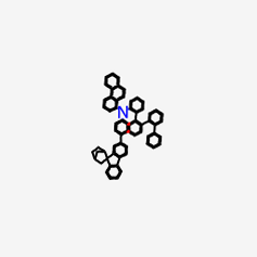 c1ccc(-c2ccccc2-c2ccccc2-c2ccccc2N(c2ccc(-c3ccc4c(c3)C3(CC5CCC3C5)c3ccccc3-4)cc2)c2cccc3c2ccc2ccccc23)cc1